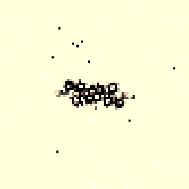 CC1CCCCC1N(C1=C2OC3C(C=CCC3C(C)(C)C)C2=CCC1)C1CCC2CCC3C4C(CCC1C24)CCC3N(C1C=CCCC1C)C1CCC=C2C3=C(OC21)C(C(C)(C)C)CC=C3